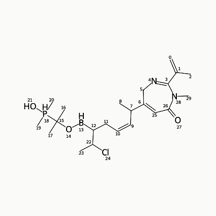 C=C(C)C1=NCC(C(C)/C=C\CC(BOC(C)(C)[PH](C)(C)O)C(C)Cl)=CC(=O)N1C